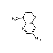 CN1CCOc2cc(N)cnc21